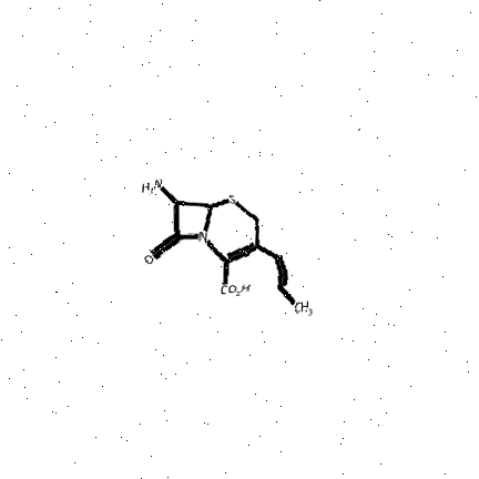 CC=CC1=C(C(=O)O)N2C(=O)C(N)C2SC1